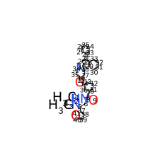 CCN(CC)C(CNC(=O)c1cccc(OC2CCN(CC(c3ccccc3)c3ccccc3)CC2)c1)c1ccco1